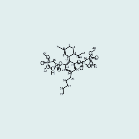 C=C(C)C1CCC(C)=CC1c1c(OP(=O)(O)CP(=O)(OC)OC)cc(CCCCC)cc1OP(=O)(O)CP(=O)(OC)OC